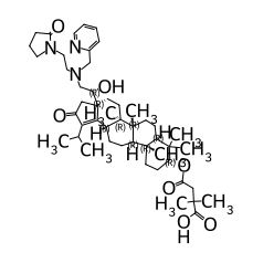 CC(C)C1=C2[C@H]3CC[C@@H]4[C@@]5(C)CC[C@@H](OC(=O)CC(C)(C)C(=O)O)C(C)(C)[C@@H]5CC[C@@]4(C)[C@]3(C)CC[C@@]2([C@@H](O)CN(CCN2CCCC2=O)Cc2ccccn2)CC1=O